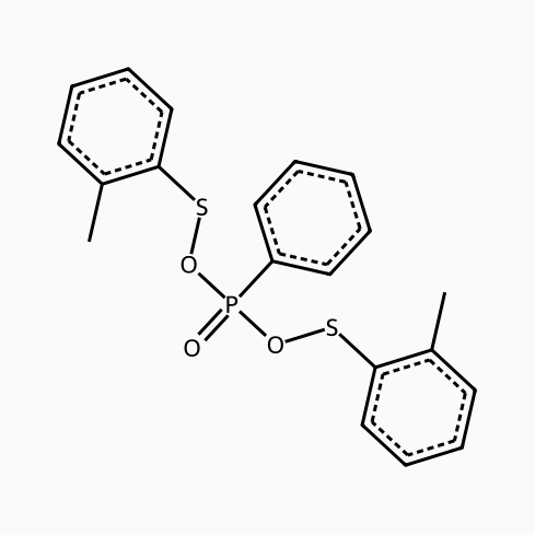 Cc1ccccc1SOP(=O)(OSc1ccccc1C)c1ccccc1